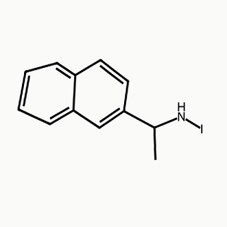 CC(NI)c1ccc2ccccc2c1